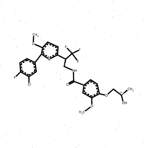 COc1cc(C(=O)NCC(c2ccc(OC)c(-c3ccc(F)c(Cl)c3)n2)C(F)(F)F)ccc1OC[C@@H](C)O